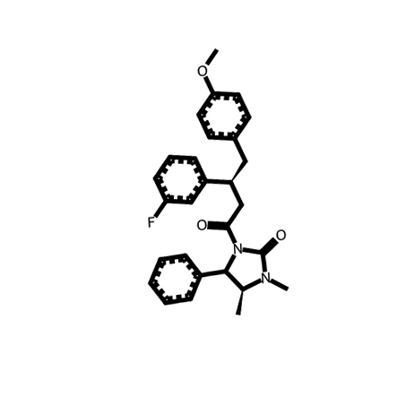 COc1ccc(C[C@@H](CC(=O)N2C(=O)N(C)[C@@H](C)C2c2ccccc2)c2cccc(F)c2)cc1